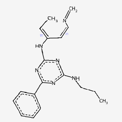 C=N/C=C\C(=C/C)Nc1nc(NCCC)nc(-c2ccccc2)n1